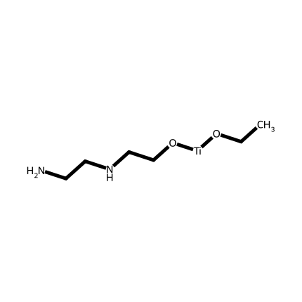 CC[O][Ti][O]CCNCCN